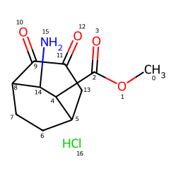 COC(=O)C1C2CCC(C(=O)C(=O)C2)C1N.Cl